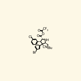 CC(C)(C)C[C@@H]1N[C@@H](C(=O)OC(=O)C(F)(F)F)[C@H](c2cccc(Cl)c2)[C@@]1(C#N)c1cc(Br)cs1